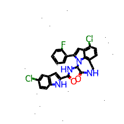 O=C(NC1C(=O)NCc2ccc(Cl)c3cc(-c4ccccc4F)n1c23)c1cc2cc(Cl)ccc2[nH]1